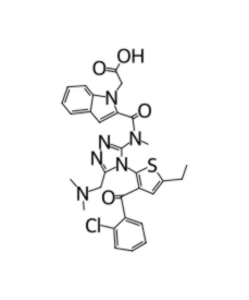 CCc1cc(C(=O)c2ccccc2Cl)c(-n2c(CN(C)C)nnc2N(C)C(=O)c2cc3ccccc3n2CC(=O)O)s1